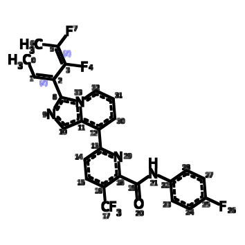 C/C=C(\C(F)=C(/C)F)c1ncc2c(-c3ccc(C(F)(F)F)c(C(=O)Nc4ccc(F)cc4)n3)cccn12